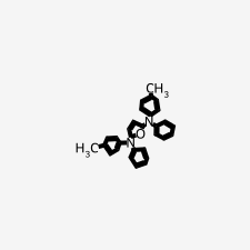 Cc1ccc(N(c2ccccc2)C2C=CC(N(c3ccccc3)c3ccc(C)cc3)O2)cc1